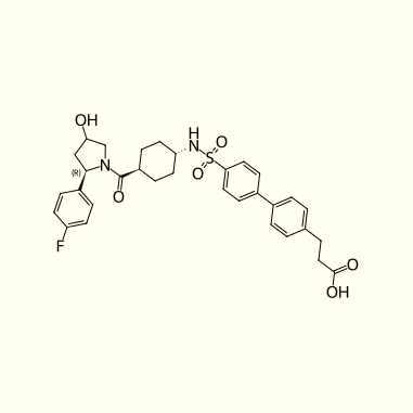 O=C(O)CCc1ccc(-c2ccc(S(=O)(=O)N[C@H]3CC[C@H](C(=O)N4CC(O)C[C@@H]4c4ccc(F)cc4)CC3)cc2)cc1